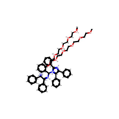 COCCOCCOCCOCCOc1ccccc1-c1nc(-c2ccccc2)c(-c2ccccc2)n1C(/N=C(\C(=N)c1ccccc1)c1ccccc1)c1ccccc1OCCOCCOCCOCCOC